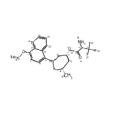 COc1ccc(N2C[C@@H](C)C[C@@H](NC(=O)C(N)C(F)(F)F)C2)c2cccnc12